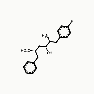 N[C@@H](Cc1ccc(F)cc1)[C@@H](O)C[C@@H](Cc1ccccc1)C(=O)O